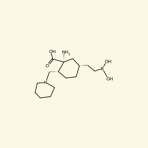 N[C@]1(C(=O)O)C[C@H](CCB(O)O)CC[C@@H]1CN1CCCCC1